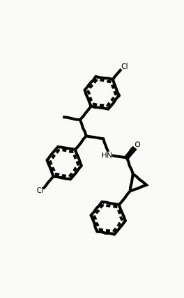 CC(c1ccc(Cl)cc1)C(CNC(=O)C1CC1c1ccccc1)c1ccc(Cl)cc1